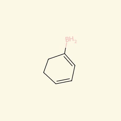 BC1=CC=CCC1